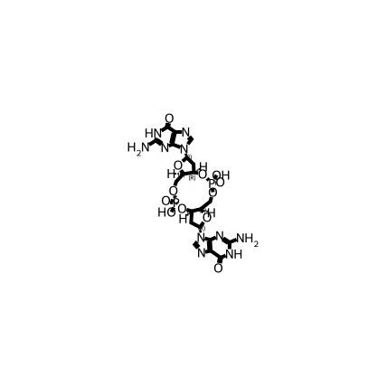 Nc1nc2c(ncn2[C@H]2C[C@H]3OP(=O)(O)OC[C@H]4O[C@@H](n5cnc6c(=O)[nH]c(N)nc65)C[C@H]4OP(=O)(O)OC[C@H]3O2)c(=O)[nH]1